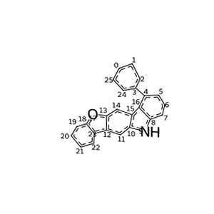 c1ccc(-c2cccc3[nH]c4cc5c(cc4c23)oc2ccccc25)cc1